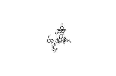 CNC(=O)c1c(-c2ccc(F)cc2F)oc2cc(N(C)S(C)(=O)=O)c(-c3ccc4nc(CN5CCC(F)(F)C5)n5c6cccc(F)c6cc5c4n3)cc12